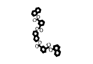 O=C(Oc1ccc2ccc(OC(=O)c3cccc(C(=O)Oc4cccc5ccccc45)c3)cc2c1)c1cccc(C(=O)Oc2cccc3ccccc23)c1